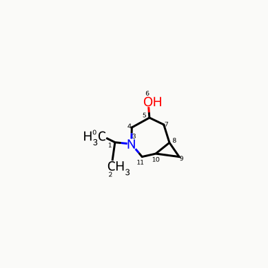 CC(C)N1CC(O)CC2CC2C1